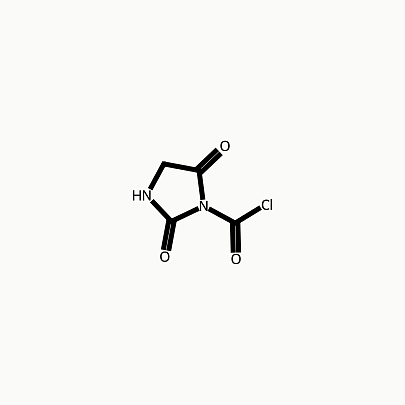 O=C(Cl)N1C(=O)CNC1=O